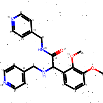 COc1cccc(C(NCc2ccncc2)C(=O)NCc2ccncc2)c1OC